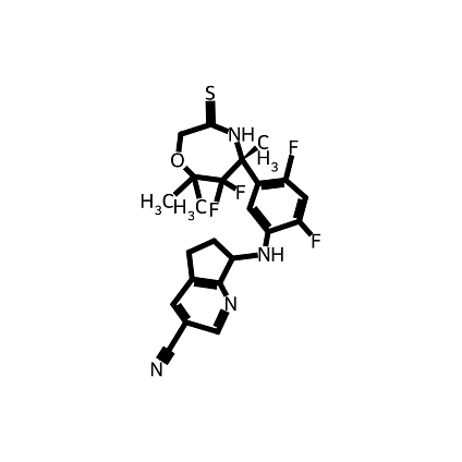 CC1(C)OCC(=S)N[C@](C)(c2cc(NC3CCc4cc(C#N)cnc43)c(F)cc2F)C1(F)F